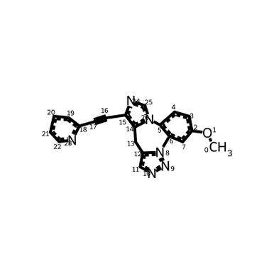 COc1ccc2c(c1)-n1nncc1Cc1c(C#Cc3ccccn3)ncn1-2